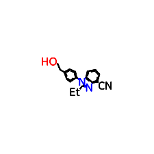 CCc1nc2c(C#N)cccc2n1-c1ccc(CCO)cc1